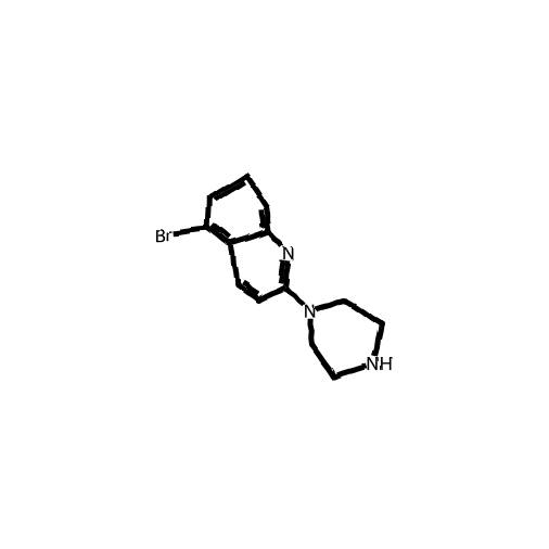 Brc1cccc2nc(N3CCNCC3)ccc12